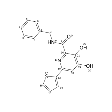 O=C(NCc1ccccc1)c1nc(-c2cccs2)cc(O)c1O